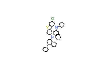 Clc1cc(N(c2ccccc2)c2ccccc2)c2c(c1)sc1ccc(N(c3ccccc3)c3ccc(-c4ccccc4)c4ccccc34)cc12